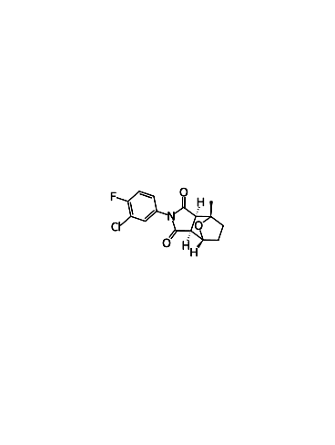 C[C@@]12CC[C@@H](O1)[C@H]1C(=O)N(c3ccc(F)c(Cl)c3)C(=O)[C@H]12